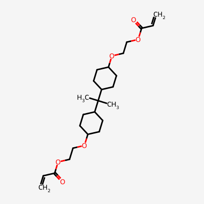 C=CC(=O)OCCOC1CCC(C(C)(C)C2CCC(OCCOC(=O)C=C)CC2)CC1